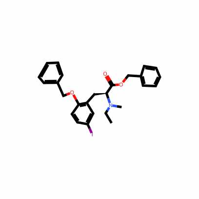 CCN(C)[C@@H](Cc1cc(I)ccc1OCc1ccccc1)C(=O)OCc1ccccc1